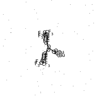 CC(C)(C)CC(C)(C(=O)OCCCC(C)(OCCOC(F)(F)C(F)(F)C(F)(F)C(F)(F)OC(C(F)(F)F)(C(F)(F)F)C(F)(F)F)OCCOC(F)(F)C(F)(F)C(F)(F)C(F)(F)OC(C(F)(F)F)(C(F)(F)F)C(F)(F)F)C(C)(C)C